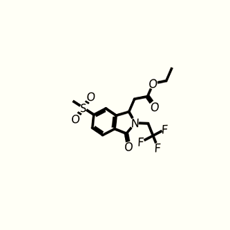 CCOC(=O)CC1c2cc(S(C)(=O)=O)ccc2C(=O)N1CC(F)(F)F